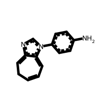 Nc1ccc(-n2cnc3c2=CC=CCC=3)cc1